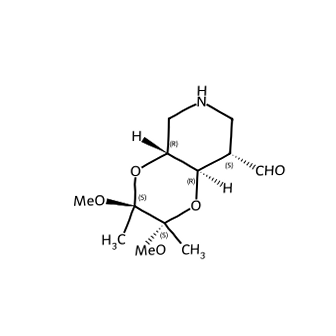 CO[C@@]1(C)O[C@@H]2[C@@H](C=O)CNC[C@H]2O[C@]1(C)OC